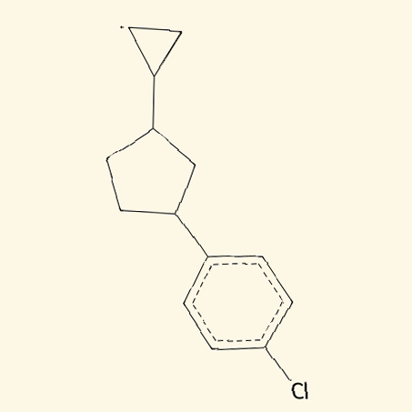 Clc1ccc(C2CCC(C3[CH]C3)C2)cc1